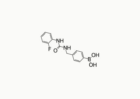 O=C(NCc1ccc(B(O)O)cc1)Nc1ccccc1F